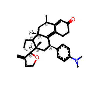 C=C1CCO[C@@]12CC[C@H]1[C@@H]3C[C@@H](C)C4=CC(=O)CCC4=C3[C@@H](c3ccc(N(C)C)cc3)C[C@@]12C